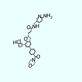 Cl.Nc1ccc(CNC(=O)C=CC2Cc3cc(-c4ccc(C(=O)N5CCOCC5)cc4)cc(Cl)c3O2)cn1